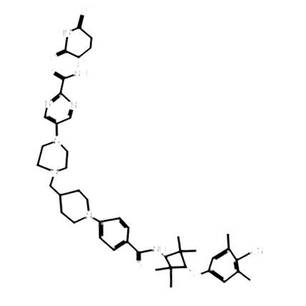 Cc1cc(O[C@H]2C(C)(C)[C@H](NC(=O)c3ccc(N4CCC(CN5CCN(c6cnc(C(=O)N[C@H]7CCC(=O)NC7=O)nc6)CC5)CC4)cc3)C2(C)C)cc(C)c1C#N